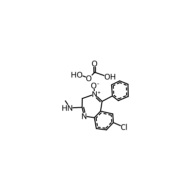 CNC1=Nc2ccc(Cl)cc2C(c2ccccc2)=[N+]([O-])C1.O=C(O)OO